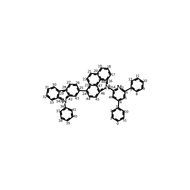 c1ccc(-c2cc(-c3ccccc3)nc(-n3c4cccc5ccc6c(-c7ccc8c9ccccc9n(-c9ccccc9)c8c7)ccc3c6c54)c2)cc1